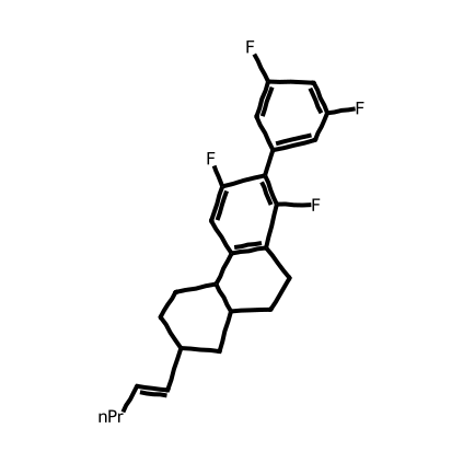 CCC/C=C/C1CCC2c3cc(F)c(-c4cc(F)cc(F)c4)c(F)c3CCC2C1